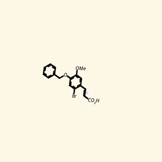 COc1cc(/C=C/C(=O)O)c(Br)cc1OCc1ccccc1